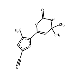 Cc1cc(C#N)sc1C1=CC(C)(C)NC(=O)O1